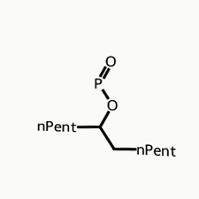 CCCCCCC(CCCCC)OP=O